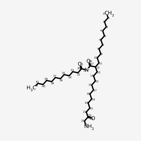 CCCCCCCCCCCCC(CCCCCCCCCCC(=O)CN)C(=O)[N]C(=O)CCCCCCCCCCC